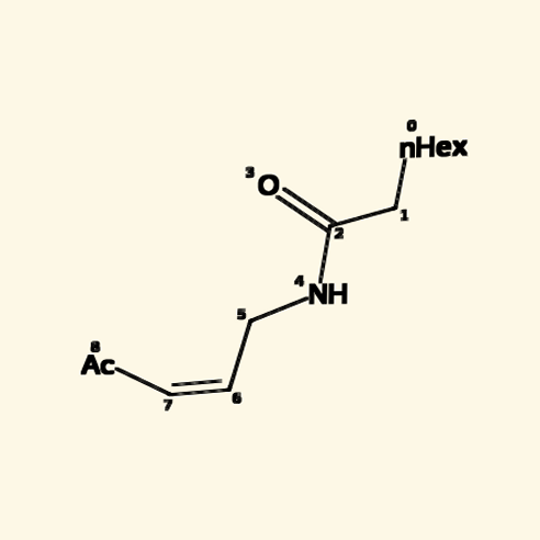 CCCCCCCC(=O)NC/C=C\C(C)=O